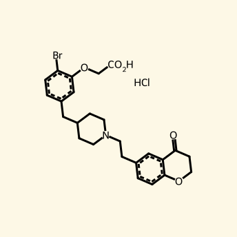 Cl.O=C(O)COc1cc(CC2CCN(CCc3ccc4c(c3)C(=O)CCO4)CC2)ccc1Br